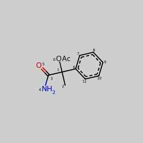 CC(=O)OC(C)(C(N)=O)c1ccccc1